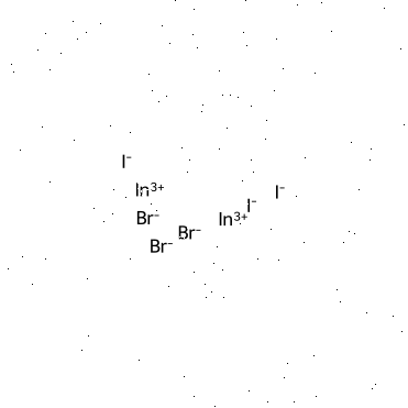 [Br-].[Br-].[Br-].[I-].[I-].[I-].[In+3].[In+3]